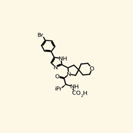 CC(C)[C@H](NC(=O)O)C(=O)N1CC2(CCOCC2)CC1c1ncc(-c2ccc(Br)cc2)[nH]1